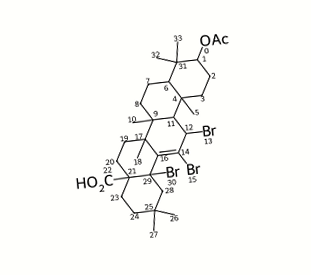 CC(=O)OC1CCC2(C)C(CCC3(C)C2C(Br)C(Br)=C2C3(C)CCC3(C(=O)O)CCC(C)(C)CC23Br)C1(C)C